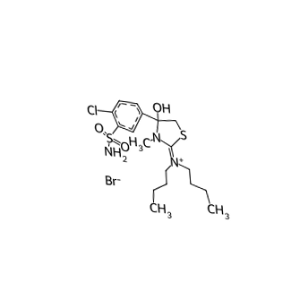 CCCC[N+](CCCC)=C1SCC(O)(c2ccc(Cl)c(S(N)(=O)=O)c2)N1C.[Br-]